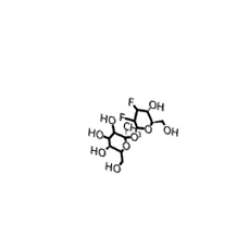 C[C@]1(O[C@H]2O[C@H](CO)[C@@H](O)C(F)C2F)OC(CO)[C@@H](O)C(O)C1O